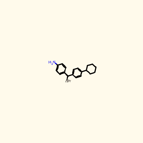 CCCC(c1ccc(N)cc1)c1ccc(C2CCCCC2)cc1